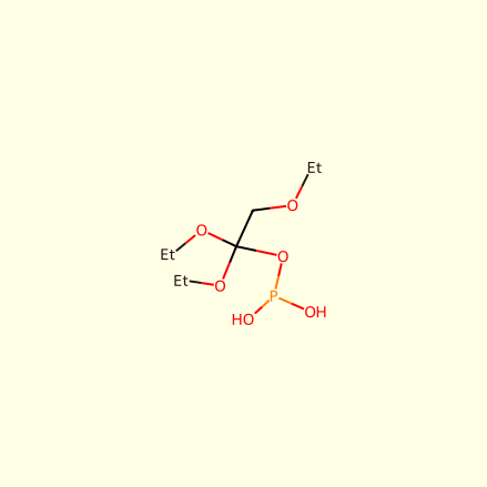 CCOCC(OCC)(OCC)OP(O)O